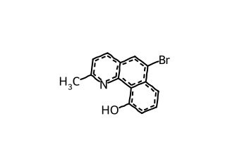 Cc1ccc2cc(Br)c3cccc(O)c3c2n1